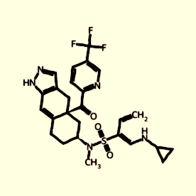 C=C/C(=C\NC1CC1)S(=O)(=O)N(C)[C@H]1CCC2=Cc3[nH]ncc3C[C@]2(C(=O)c2ccc(C(F)(F)F)cn2)C1